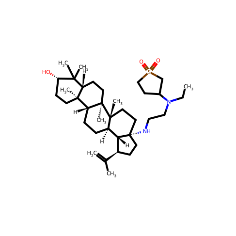 C=C(C)[C@@H]1CC[C@]2(NCCN(CC)C3CCS(=O)(=O)C3)CC[C@]3(C)[C@H](CC[C@@H]4[C@@]5(C)CC[C@H](O)C(C)(C)[C@@H]5CC[C@]43C)[C@@H]12